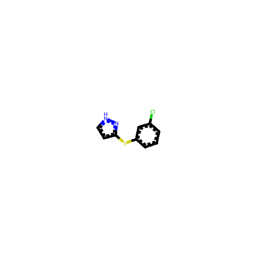 Clc1cccc(Sc2cc[nH]n2)c1